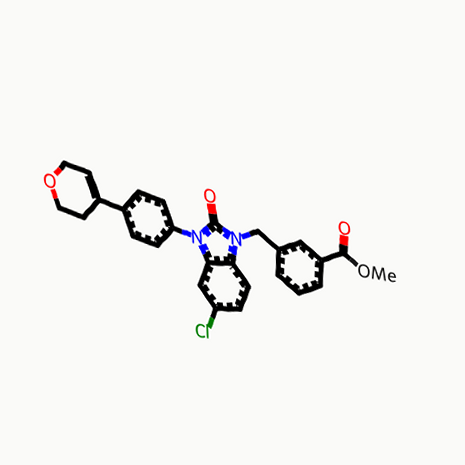 COC(=O)c1cccc(Cn2c(=O)n(-c3ccc(C4=CCOCC4)cc3)c3cc(Cl)ccc32)c1